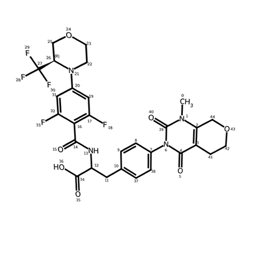 Cn1c2c(c(=O)n(-c3ccc(CC(NC(=O)c4c(F)cc(N5CCOC[C@@H]5C(F)(F)F)cc4F)C(=O)O)cc3)c1=O)CCOC2